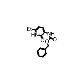 CCc1ccc(NC(=O)OCc2ccccc2)c(=O)[nH]1